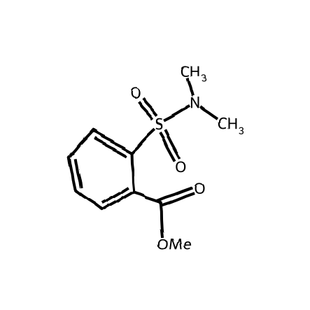 COC(=O)c1ccccc1S(=O)(=O)N(C)C